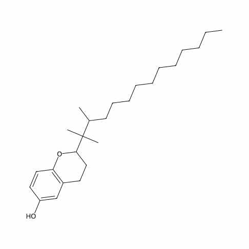 CCCCCCCCCCCC(C)C(C)(C)C1CCc2cc(O)ccc2O1